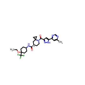 CCOC1(C(F)(F)F)CCC(NC(=O)[C@@H]2CCN(C(=O)c3cc(-c4cc(C)ncn4)[nH]n3)C3(CC3)C2)CC1